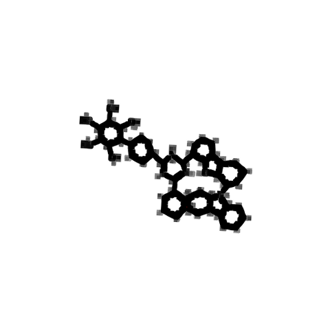 Oc1c(O)c(O)c(-c2ccc(C3=NC(c4ccccc4)=NC(c4cccc5c4oc4c(-n6c7ccccc7c7ccccc76)cccc45)N3)cc2)c(O)c1O